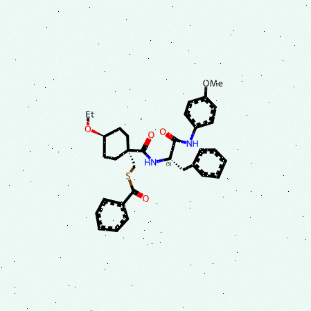 CCO[C@H]1CC[C@@](CSC(=O)c2ccccc2)(C(=O)N[C@@H](Cc2ccccc2)C(=O)Nc2ccc(OC)cc2)CC1